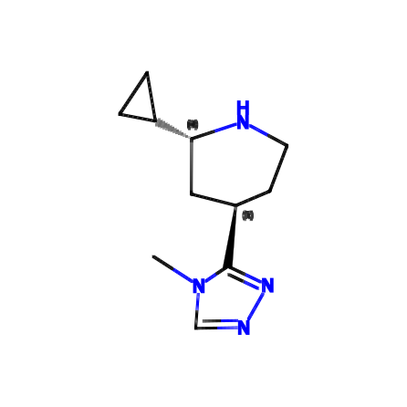 Cn1cnnc1[C@@H]1CCN[C@@H](C2CC2)C1